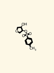 Cc1ccc(S(=O)(=O)O[C@H]2COC[C@H]2O)cc1